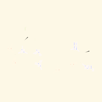 C[C@H](Nc1cc2c(c3c1CC3)-c1nc(N3C(=O)OC[C@H]3C(F)F)cn1CCO2)C(N)=O